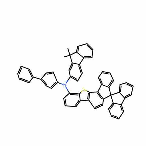 CC1(C)c2ccccc2-c2ccc(N(c3ccc(-c4ccccc4)cc3)c3cccc4c3sc3c5c(ccc34)C3(c4ccccc4-c4ccccc43)c3ccccc3-5)cc21